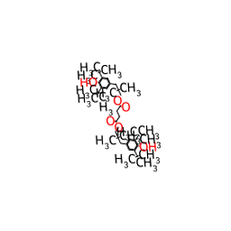 CC(C)(COC(=O)CCC(=O)OCC(C)(C)Cc1cc(C(C)(C)C)c(O)c(C(C)(C)C)c1)Cc1cc(C(C)(C)C)c(O)c(C(C)(C)C)c1